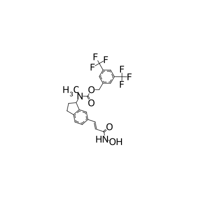 CN(C(=O)OCc1cc(C(F)(F)F)cc(C(F)(F)F)c1)C1CCc2ccc(/C=C/C(=O)NO)cc21